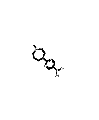 CN1CCCN(c2ncc(B(O)O)cn2)CC1